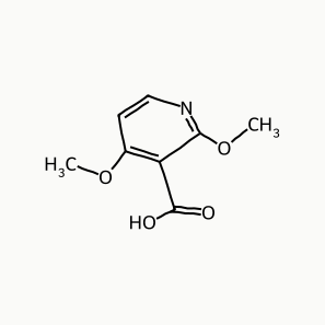 COc1ccnc(OC)c1C(=O)O